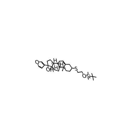 CC(C)(C)[Si](C)(C)OCCSC1CC[C@@]2(C)C(=CC[C@@H]3[C@H]2CC[C@@]2(C)[C@H]3CCC2(O)c2ccoc2)C1